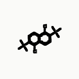 C[Si](C)(C)c1ccc2c(Cl)c([Si](C)(C)C)ccc2c1Cl